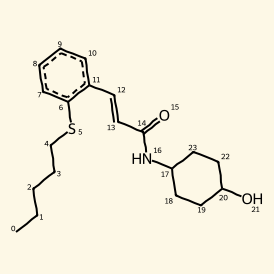 CCCCCSc1ccccc1/C=C/C(=O)NC1CCC(O)CC1